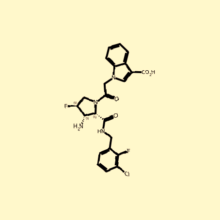 N[C@H]1[C@@H](C(=O)NCc2cccc(Cl)c2F)N(C(=O)Cn2cc(C(=O)O)c3ccccc32)C[C@@H]1F